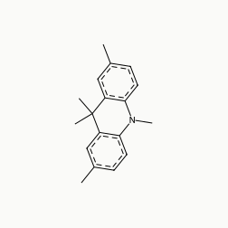 Cc1ccc2c(c1)C(C)(C)c1cc(C)ccc1N2C